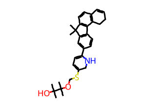 CC1(C)c2cc(C3=CC=C(SCOC(C)(C)C(C)(C)O)CN3)ccc2-c2c1ccc1c2CCC=C1